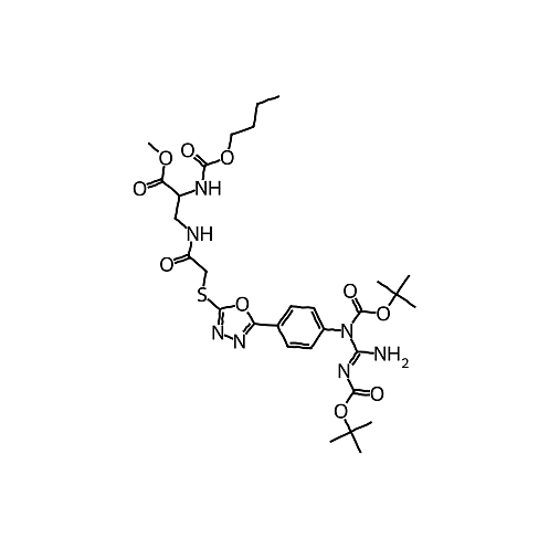 CCCCOC(=O)NC(CNC(=O)CSc1nnc(-c2ccc(N(C(=O)OC(C)(C)C)C(N)=NC(=O)OC(C)(C)C)cc2)o1)C(=O)OC